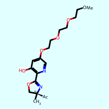 COCCOCCOCCOc1cnc(C2=N[C@@](C)(C(C)=O)CO2)c(O)c1